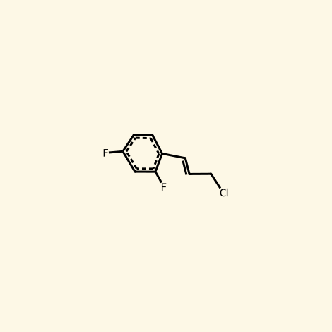 Fc1ccc(C=CCCl)c(F)c1